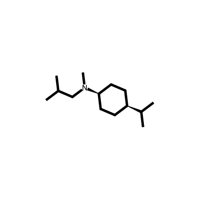 CC(C)CN(C)[C@H]1CC[C@@H](C(C)C)CC1